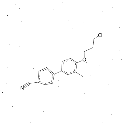 Cc1cc(-c2ccc(C#N)cc2)ccc1OCCCCl